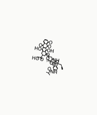 C#CCC(OC(=O)N[C@H]1CC(O[C@H]2CC(C(=O)CO)Cc3c(O)c4c(c(O)c32)C(=O)c2c(OC)cccc2C4=O)O[C@@H](C)[C@H]1O)c1ccc(NC(=O)C(C)C)cc1